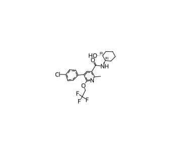 Cc1nc(OCC(F)(F)F)c(-c2ccc(Cl)cc2)cc1C(=O)N[C@@H]1CCCC[C@H]1O